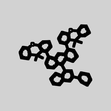 CC1(C)c2ccccc2Oc2cccc(-c3cccc4c(-c5cc(-c6ccccc6)cc6ccccc56)c5cccc(-c6cccc7c6C(C)(C)c6ccccc6O7)c5cc34)c21